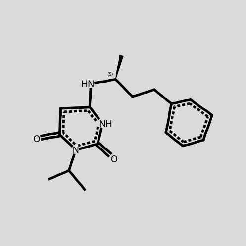 CC(C)n1c(=O)cc(N[C@@H](C)CCc2ccccc2)[nH]c1=O